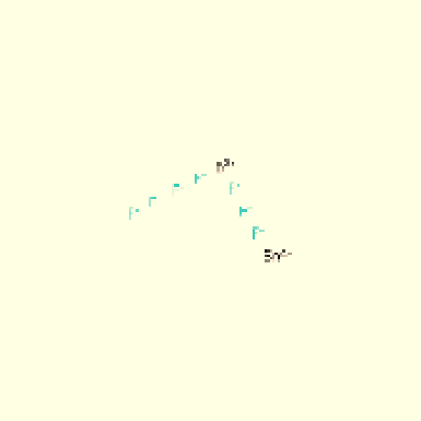 [B+3].[F-].[F-].[F-].[F-].[F-].[F-].[F-].[Sn+4]